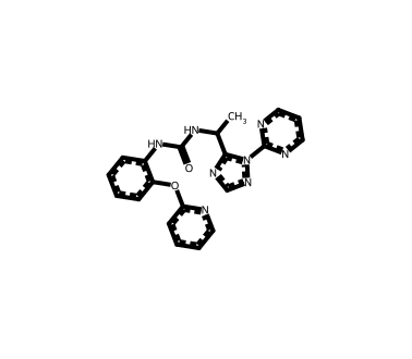 CC(NC(=O)Nc1ccccc1Oc1ccccn1)c1ncnn1-c1ncccn1